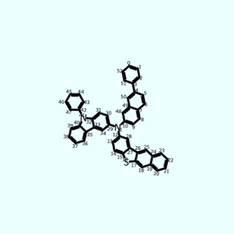 c1ccc(-c2ccc3ccc(N(c4ccc5sc6cc7ccccc7cc6c5c4)c4ccc5c(c4)c4ccccc4n5-c4ccccc4)cc3c2)cc1